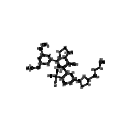 COc1cc(OC)cc(-c2nn(-c3cc(N4CCC(OCCO)C4)ccc3C(F)(F)F)c(=O)c3c2CCN3)c1